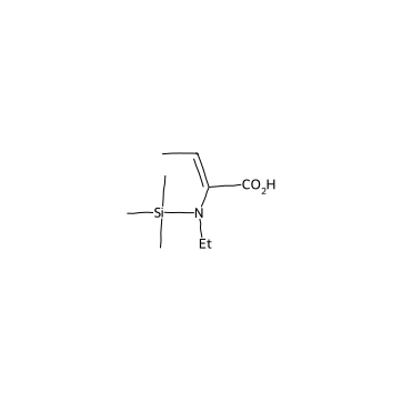 C/C=C(/C(=O)O)N(CC)[Si](C)(C)C